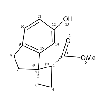 COC(=O)[C@@H]1CC[C@@]12CCc1ccc(O)cc12